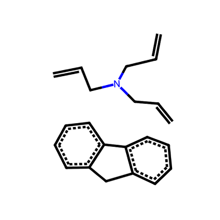 C=CCN(CC=C)CC=C.c1ccc2c(c1)Cc1ccccc1-2